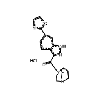 Cl.O=C(c1n[nH]c2cc(-c3ncco3)ccc12)N1CCN2CCC1CC2